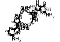 Nc1nc2c(c(=O)[nH]1)NNN2[C@@H]1S[C@@H]2COP(=O)(S)O[C@H]3C(c4cnn5c(N)ncnc45)CO[C@@H]3COP(=O)(S)O[C@@H]1[C@@H]2O